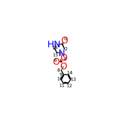 O=C1CN(OC(=O)OCc2ccccc2)CCN1